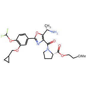 COCCOC(=O)[C@@H]1CCCN1C(=O)c1nc(-c2ccc(OC(F)F)c(OCC3CC3)c2)oc1[C@H](C)N